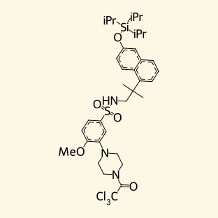 COc1ccc(S(=O)(=O)NCC(C)(C)c2cccc3cc(O[Si](C(C)C)(C(C)C)C(C)C)ccc23)cc1N1CCN(C(=O)C(Cl)(Cl)Cl)CC1